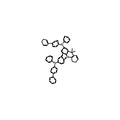 CC1(C)C2=C(CCC=C2)n2c3ccc(N(c4ccccc4)c4ccc(-c5ccccc5)cc4)cc3c3cc(N(c4ccccc4)c4ccc(C5=CCCC=C5)cc4)cc1c32